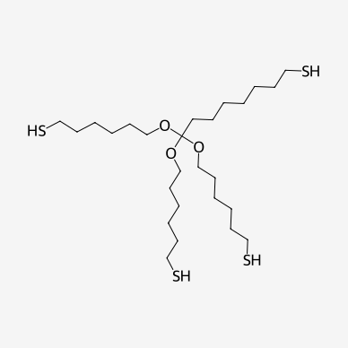 SCCCCCCCC(OCCCCCCS)(OCCCCCCS)OCCCCCCS